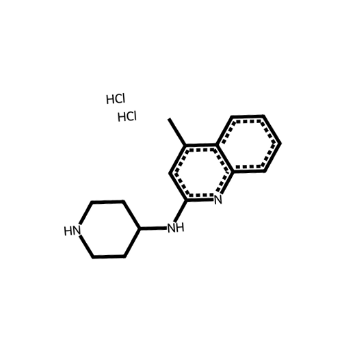 Cc1cc(NC2CCNCC2)nc2ccccc12.Cl.Cl